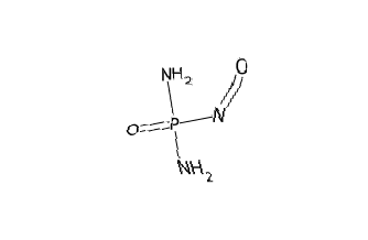 NP(N)(=O)N=O